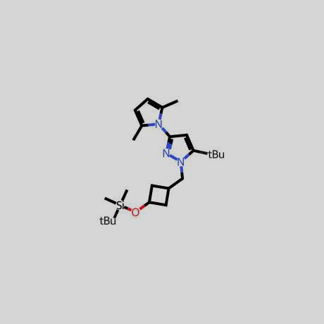 Cc1ccc(C)n1-c1cc(C(C)(C)C)n(CC2CC(O[Si](C)(C)C(C)(C)C)C2)n1